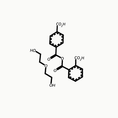 O=C(O)c1ccc(C(=O)OC(=O)c2ccccc2C(=O)O)cc1.OCCOCCO